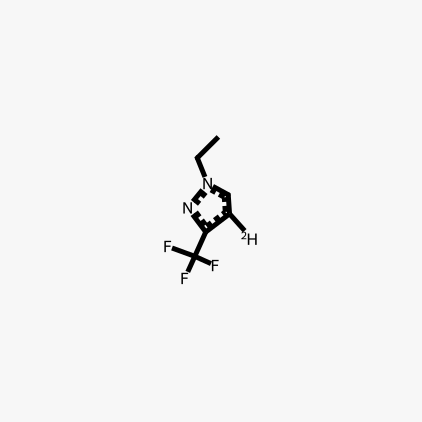 [2H]c1cn(CC)nc1C(F)(F)F